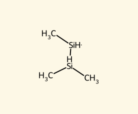 C[SiH][SiH](C)C